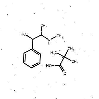 CC(C)(C)C(=O)O.CNC(C)C(O)c1ccccc1